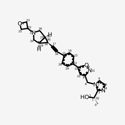 C[C@H](O)c1nccn1Cc1cc(-c2ccc(C#C[C@H]3[C@H]4CN(C5COC5)C[C@@H]34)cc2)on1